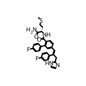 CSCC[C@H](NC(=O)c1ccc(C=C(Cc2ncc[nH]2)c2ccc(F)cc2)cc1-c1ccc(F)cc1)C(N)=O